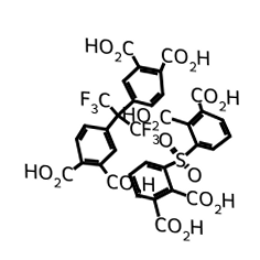 O=C(O)c1ccc(C(c2ccc(C(=O)O)c(C(=O)O)c2)(C(F)(F)F)C(F)(F)F)cc1C(=O)O.O=C(O)c1cccc(S(=O)(=O)c2cccc(C(=O)O)c2C(=O)O)c1C(=O)O